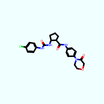 O=C(Nc1ccc(Cl)cc1)NC1CCCC1C(=O)Nc1ccc(N2CCOCC2=O)cc1